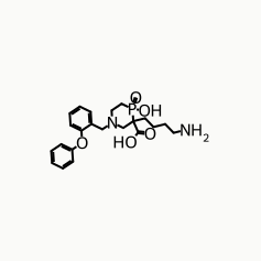 NCCCCC1(C(=O)O)CN(Cc2ccccc2Oc2ccccc2)CCP1(=O)O